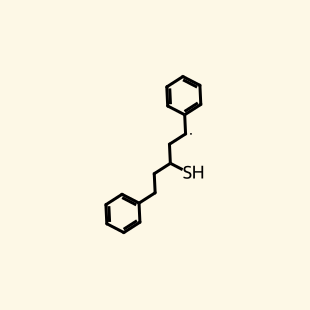 SC(C[CH]c1ccccc1)CCc1ccccc1